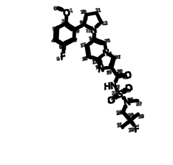 COc1ccc(F)cc1C1CCCN1c1ccc2nc(C(=O)NS(=O)(=O)N(C)CC(C)(C)F)cn2c1